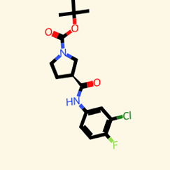 CC(C)(C)OC(=O)N1CC[C@H](C(=O)Nc2ccc(F)c(Cl)c2)C1